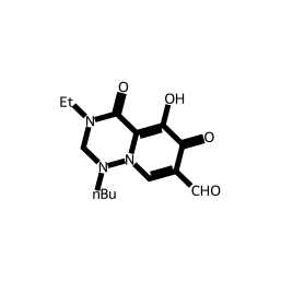 CCCCN1CN(CC)C(=O)c2c(O)c(=O)c(C=O)cn21